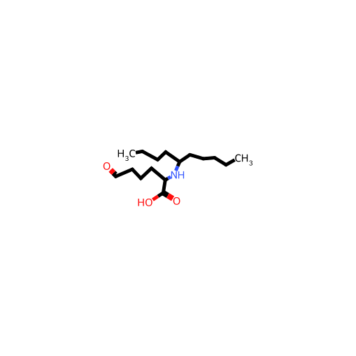 CCCCCC(CCCC)NC(CCCC=O)C(=O)O